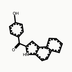 O=C(c1ccc(O)cc1)c1cc2c(ccc3ccccc32)[nH]1